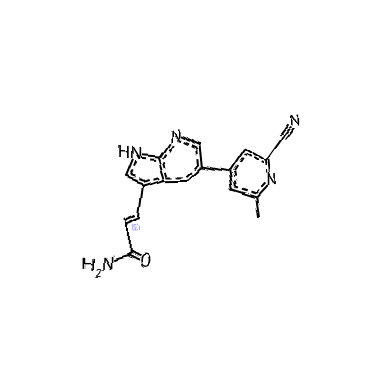 Cc1cc(-c2cnc3[nH]cc(/C=C/C(N)=O)c3c2)cc(C#N)n1